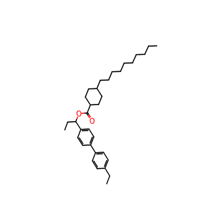 CCCCCCCCCCC1CCC(C(=O)OC(CC)c2ccc(-c3ccc(CC)cc3)cc2)CC1